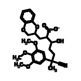 COc1cc(C(C)(C#N)CCC(O)C(CC2COc3ccccc3O2)[N+](=O)[O-])cc(OC)c1OC